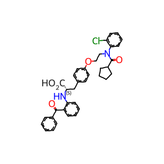 O=C(c1ccccc1)c1ccccc1N[C@@H](Cc1ccc(OCCN(C(=O)C2CCCC2)c2ccccc2Cl)cc1)C(=O)O